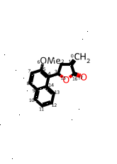 C=C1CC(c2c(OC)ccc3ccccc23)OC1=O